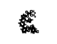 C=C(C)C(=O)Oc1cnc(CN2CCC(c3cccc4c3OC(C)(c3ccc(Cl)cc3F)O4)CC2)n1C[C@@H]1CCO1